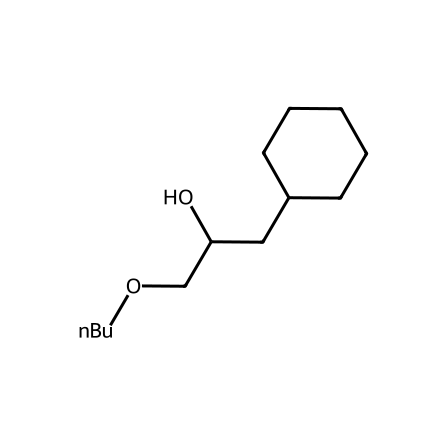 CCCCOCC(O)CC1CCCCC1